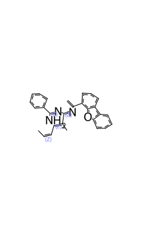 C=C(/N=C(\N=C(/N)c1ccccc1)C(/C)=C/C=C\C)c1cccc2c1oc1ccccc12